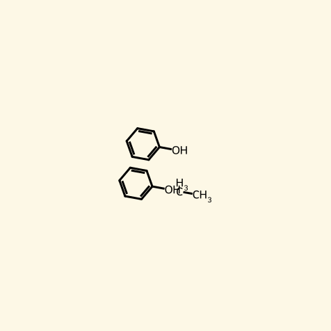 CC.Oc1ccccc1.Oc1ccccc1